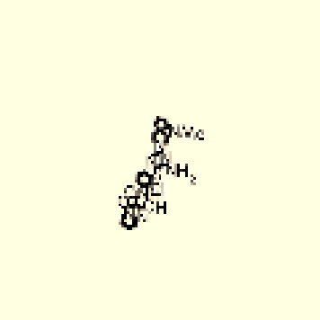 CN[C@@H]1CCCC12CCN(c1cnc(Sc3cccc(NC(=O)c4c(O)nc5ccccn5c4=O)c3Cl)c(N)n1)CC2